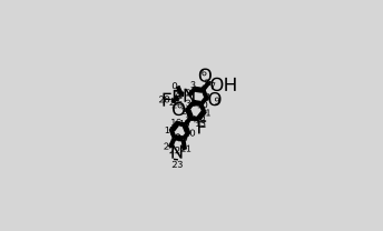 CCn1cc(C(=O)O)c(=O)c2cc(F)c(-c3ccc4c(c3)CN(C)C4)c(OC(F)F)c21